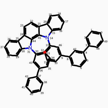 c1ccc(-c2cccc(-c3cccc(-n4c5ccccc5c5ccc6c7ccccc7n(-c7cccc(-c8ccccc8)c7)c6c54)c3)c2)cc1